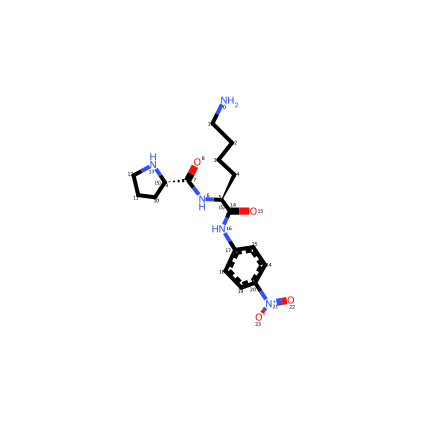 NCCCC[C@H](NC(=O)[C@@H]1CCCN1)C(=O)Nc1ccc([N+](=O)[O-])cc1